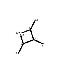 CC1NC(C)C1C